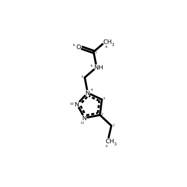 CCc1cn(CNC(C)=O)nn1